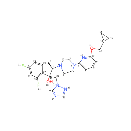 C[C@@H](N1CCN(c2cccc(OCC3CC3)n2)CC1)[C@](O)(Cn1cncn1)c1ccc(F)cc1F